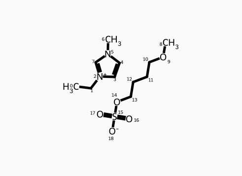 CC[n+]1ccn(C)c1.COCCCCOS(=O)(=O)[O-]